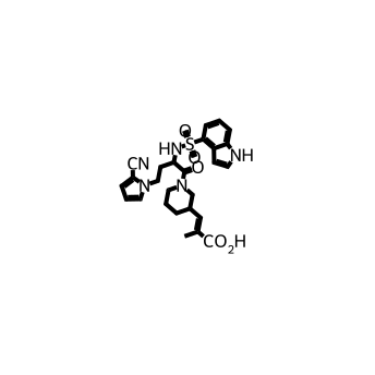 CC(=CC1CCCN(C(=O)C(CCn2cccc2C#N)NS(=O)(=O)c2cccc3[nH]ccc23)C1)C(=O)O